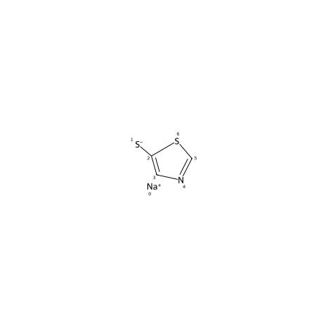 [Na+].[S-]c1cncs1